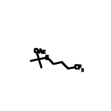 CC(=O)OC(C)(C)SCCCC(F)(F)F